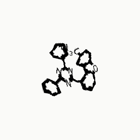 Cc1ccc2oc3cccc(-c4nc(-c5ccccc5)nc(-c5ccccc5)n4)c3c2c1